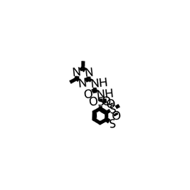 Cc1nc(C)nc(NC(=O)NS(=O)(=O)C2=C(S(C)(=O)=O)C(=S)CC=C2)n1